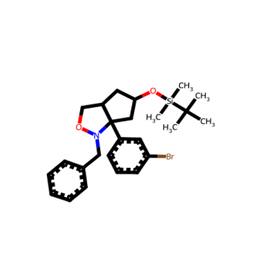 CC(C)(C)[Si](C)(C)OC1CC2CON(Cc3ccccc3)C2(c2cccc(Br)c2)C1